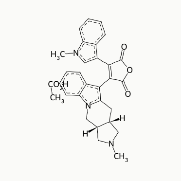 CC(=O)O.CN1C[C@H]2Cc3c(C4=C(c5cn(C)c6ccccc56)C(=O)OC4=O)c4ccccc4n3C[C@H]2C1